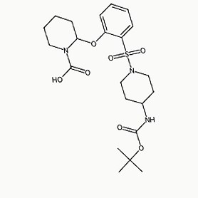 CC(C)(C)OC(=O)NC1CCN(S(=O)(=O)c2ccccc2OC2CCCCN2C(=O)O)CC1